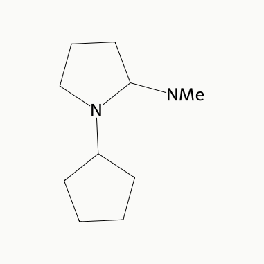 CNC1CCCN1C1CCCC1